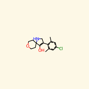 Cc1cc(Cl)cc(C)c1C1=C(O)C2(CCOCC2)NC1